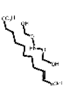 CCCCCCCCC=CCCCCCCCC(=O)O.OCONOCO